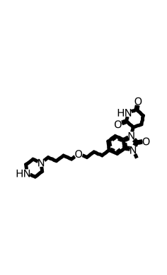 Cn1c(=O)n(C2CCC(=O)NC2=O)c2ccc(CCCOCCCCN3CCNCC3)cc21